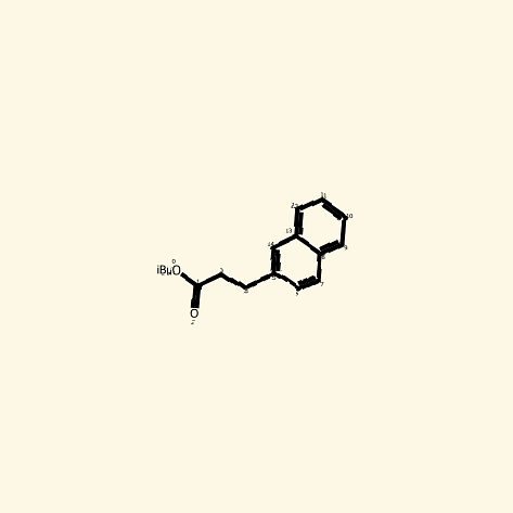 CC(C)COC(=O)CCc1ccc2ccccc2c1